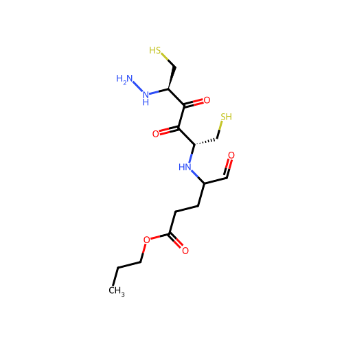 CCCOC(=O)CCC(C=O)N[C@@H](CS)C(=O)C(=O)[C@H](CS)NN